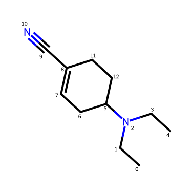 CCN(CC)C1CC=C(C#N)CC1